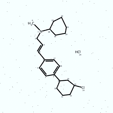 CN(CC=Cc1ccc(C2CCCC(Cl)C2)cc1)C1CCCCC1.Cl